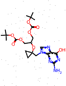 CC(C)(C)OC(=O)OC[C](COC(=O)OC(C)(C)C)OC1(Cn2cnc3c(O)nc(N)nc32)CC1